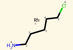 NCCCCCCl.[Rh]